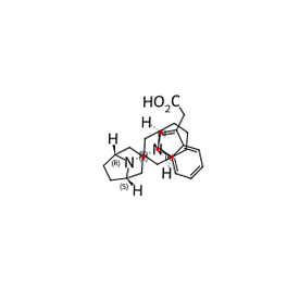 O=C(O)Cc1cn([C@H]2C[C@H]3CC[C@@H](C2)N3[C@H]2C[C@@H]3CCC[C@@H](C3)C2)c2ccccc12